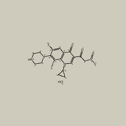 Cl.O=C(C[N+](=O)[O-])c1cn(C2CC2)c2c(F)c(N3CCNCC3)c(F)cc2c1=O